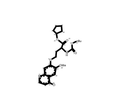 CCCCOC(=O)NC(CCOc1cc2nccc(Cl)c2cc1OC)C(=O)OC1CCCC1